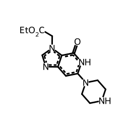 CCOC(=O)Cn1cnc2cc(N3CCNCC3)[nH]c(=O)c21